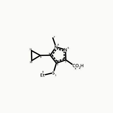 CCSc1c(C(=O)O)nn(C)c1C1CC1